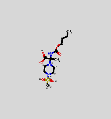 CCCCOC(=O)NC(C)(C(=O)O)N1CCN(S(C)(=O)=O)CC1